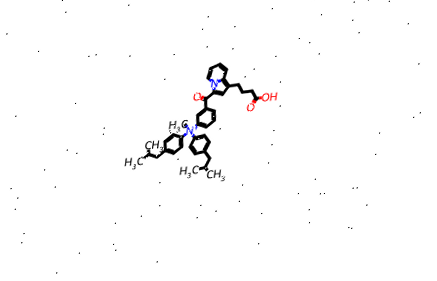 CC(C)Cc1ccc([N+](C)(c2ccc(CC(C)C)cc2)c2cccc(C(=O)c3cc(CCCC(=O)O)c4ccccn34)c2)cc1